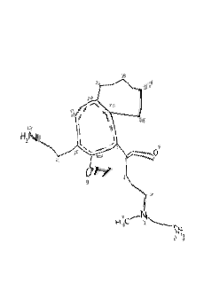 CN(C)CCC(=O)c1c(O)c(CN)cc2c1CCCC2